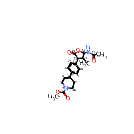 COC(=O)N1CC=C(c2ccc(C3C(=O)O[C@@H](NC(C)=O)C3C)cc2)CC1